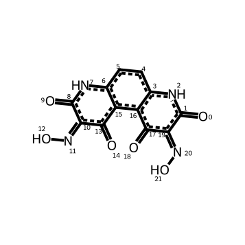 O=c1[nH]c2ccc3[nH]c(=O)c(=NO)c(=O)c3c2c(=O)c1=NO